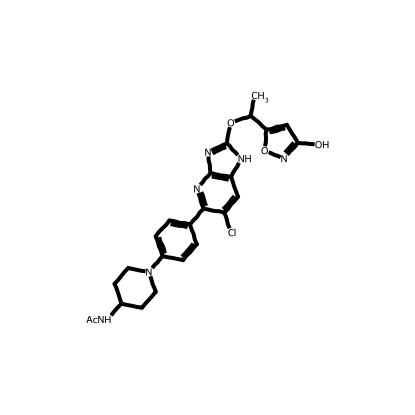 CC(=O)NC1CCN(c2ccc(-c3nc4nc(OC(C)c5cc(O)no5)[nH]c4cc3Cl)cc2)CC1